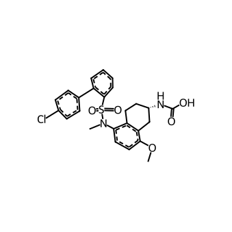 COc1ccc(N(C)S(=O)(=O)c2ccccc2-c2ccc(Cl)cc2)c2c1C[C@@H](NC(=O)O)CC2